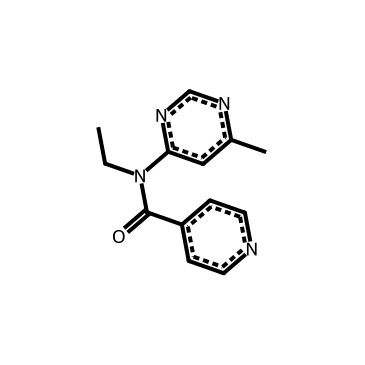 CCN(C(=O)c1ccncc1)c1cc(C)ncn1